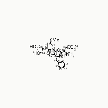 CSCC[C@H](NC(=O)[C@H](Cc1ccccc1)NC(=O)[C@@H](N)CC(=O)O)C(=O)N[C@@H](CO)C(=O)O